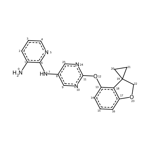 Nc1cccnc1Nc1cnc(Oc2cccc3c2C2(CC2)CO3)nc1